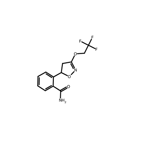 NC(=O)c1ccccc1C1CC(OCC(F)(F)F)=NO1